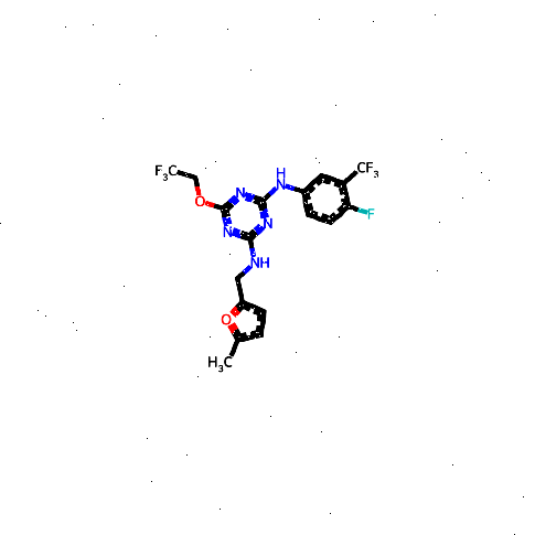 Cc1ccc(CNc2nc(Nc3ccc(F)c(C(F)(F)F)c3)nc(OCC(F)(F)F)n2)o1